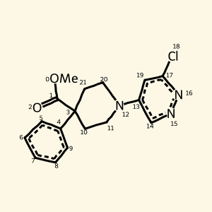 COC(=O)C1(c2ccccc2)CCN(c2cnnc(Cl)c2)CC1